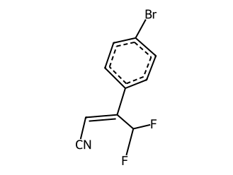 N#CC=C(c1ccc(Br)cc1)C(F)F